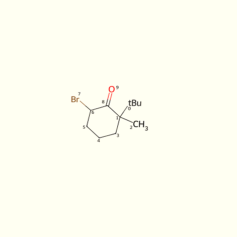 CC(C)(C)C1(C)CCCC(Br)C1=O